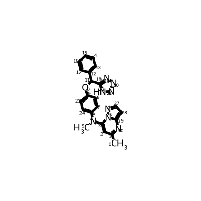 Cc1cc(N(C)c2ccc(OC(c3ccccc3)c3nnn[nH]3)cc2)n2nccc2n1